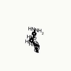 COC(=O)[C@H](CC(=O)OC(C)(C)C)NC(=O)c1cccc(NC(=O)c2ccc(C(=N)N)cc2)c1.I